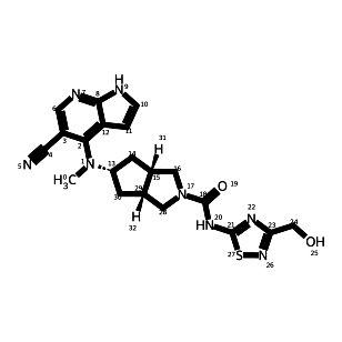 CN(c1c(C#N)cnc2[nH]ccc12)[C@@H]1C[C@@H]2CN(C(=O)Nc3nc(CO)ns3)C[C@@H]2C1